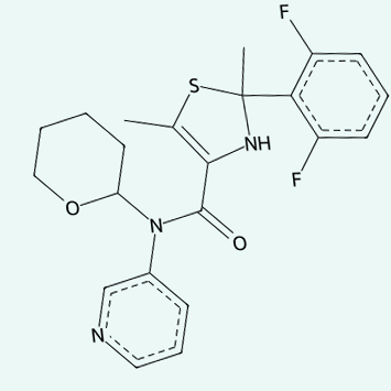 CC1=C(C(=O)N(c2cccnc2)C2CCCCO2)NC(C)(c2c(F)cccc2F)S1